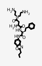 CCCc1nc2cc(NC(=O)[C@H](CCc3ccccc3)NC(=O)[C@@H](N)CC(=O)N(CCN)CCN)ccc2o1